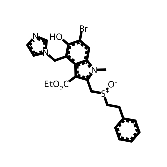 CCOC(=O)c1c(C[S+]([O-])CCc2ccccc2)n(C)c2cc(Br)c(O)c(Cn3ccnc3)c12